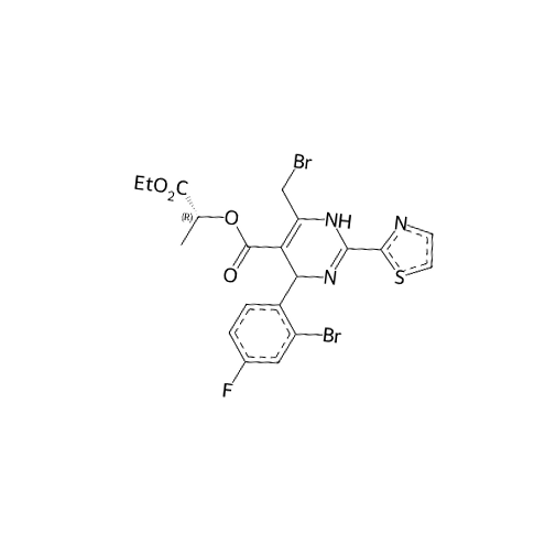 CCOC(=O)[C@@H](C)OC(=O)C1=C(CBr)NC(c2nccs2)=NC1c1ccc(F)cc1Br